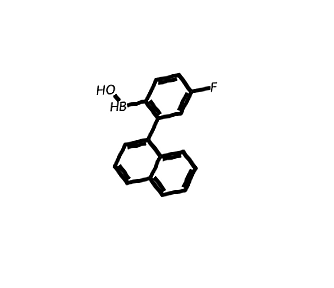 OBc1ccc(F)cc1-c1cccc2ccccc12